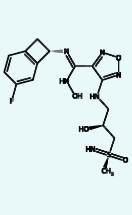 C[S@](=N)(=O)C[C@@H](O)CNc1nonc1C(=N[C@H]1Cc2ccc(F)cc21)NO